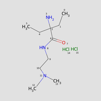 CCC(N)(CC)C(=O)NCCN(C)C.Cl.Cl